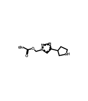 CC(C)(C)C(=O)OCn1cc(C2CCNC2)nn1